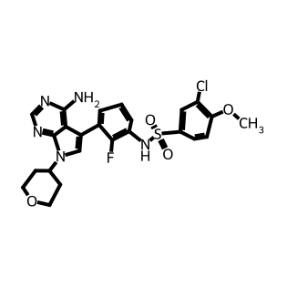 COc1ccc(S(=O)(=O)Nc2cccc(-c3cn(C4CCOCC4)c4ncnc(N)c34)c2F)cc1Cl